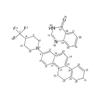 FC(F)(F)C1CCN(c2ccc3c4c(ccc3c2)C2=C(CCC=C2)CC4)CC1.O=c1[nH]cnc2ccccc12